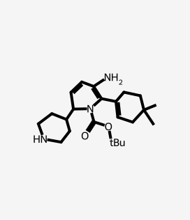 CC1(C)CC=C(C2=C(N)C=CC(C3CCNCC3)N2C(=O)OC(C)(C)C)CC1